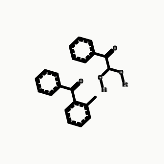 CCOC(OCC)C(=O)c1ccccc1.Cc1ccccc1C(=O)c1ccccc1